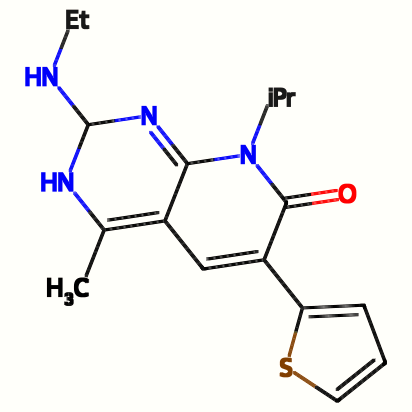 CCNC1N=c2c(cc(-c3cccs3)c(=O)n2C(C)C)=C(C)N1